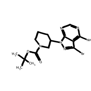 CC(C)(C)OC(=O)N1CCCC(n2nc(Br)c3c(N)ncnc32)C1